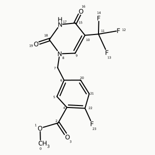 COC(=O)c1cc(Cn2cc(C(F)(F)F)c(=O)[nH]c2=O)ccc1F